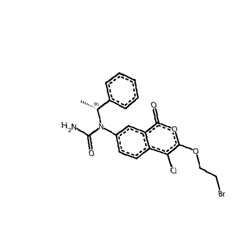 C[C@H](c1ccccc1)N(C(N)=O)c1ccc2c(Cl)c(OCCBr)oc(=O)c2c1